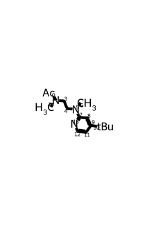 CC(=O)N(C)CCN(C)c1cc(C(C)(C)C)ccn1